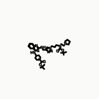 CC(C)(C)OC(=O)N1CCC(Nc2nc(NCc3cn(CCCN(CCN4CCCC4)C(=O)OC(C)(C)C)nn3)nc3ccccc23)CC1